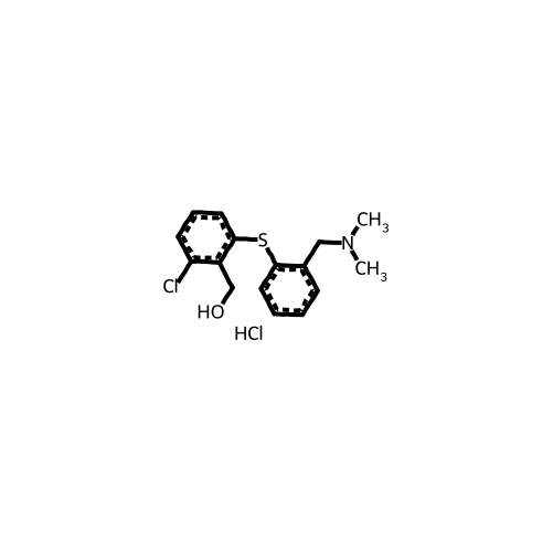 CN(C)Cc1ccccc1Sc1cccc(Cl)c1CO.Cl